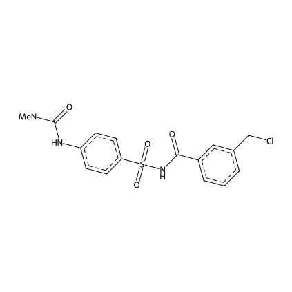 CNC(=O)Nc1ccc(S(=O)(=O)NC(=O)c2cccc(CCl)c2)cc1